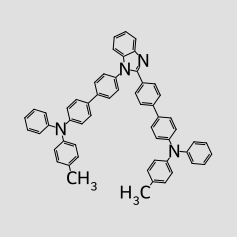 Cc1ccc(N(c2ccccc2)c2ccc(-c3ccc(-c4nc5ccccc5n4-c4ccc(-c5ccc(N(c6ccccc6)c6ccc(C)cc6)cc5)cc4)cc3)cc2)cc1